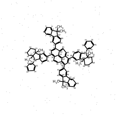 CC1(C)c2ccccc2-c2cc(-c3cc(-c4ccc5c(c4)C4(C)CCCCC4(C)N5c4ccccc4)c4ccc5c(-c6ccc7c(c6)-c6ccccc6C7(C)C)cc(-c6ccc7c(c6)C6(C)CCCCC6(C)N7c6ccccc6)c6ccc3c4c56)ccc21